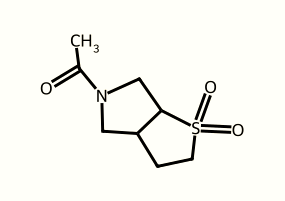 CC(=O)N1CC2CCS(=O)(=O)C2C1